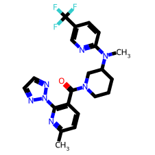 Cc1ccc(C(=O)N2CCCC(N(C)c3ccc(C(F)(F)F)cn3)C2)c(-n2nccn2)n1